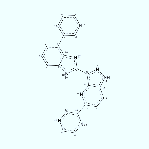 c1cncc(-c2cccc3[nH]c(-c4n[nH]c5ccc(-c6cnccn6)nc45)nc23)c1